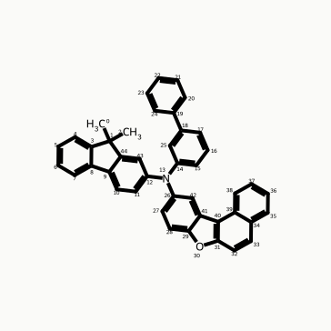 CC1(C)c2ccccc2-c2ccc(N(c3cccc(-c4ccccc4)c3)c3ccc4oc5ccc6ccccc6c5c4c3)cc21